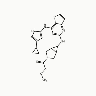 COCC(=O)N1CC2C(C1)C2Nc1nc(Nc2cc(C3CC3)n[nH]2)c2sccc2n1